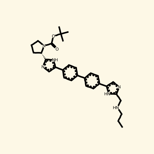 CCCNCc1ncc(-c2ccc(-c3ccc(-c4cnc([C@@H]5CCCN5C(=O)OC(C)(C)C)[nH]4)cc3)cc2)[nH]1